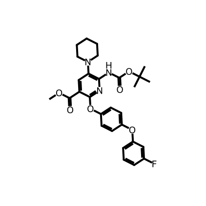 COC(=O)c1cc(N2CCCCC2)c(NC(=O)OC(C)(C)C)nc1Oc1ccc(Oc2cccc(F)c2)cc1